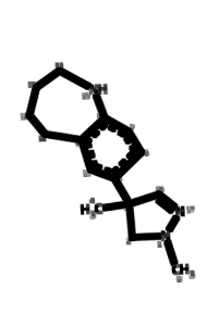 CN1CC(C)(c2ccc3c(c2)CCCCN3)C=N1